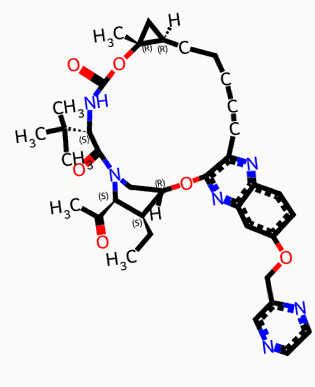 CC[C@@H]1[C@@H]2CN(C(=O)[C@H](C(C)(C)C)NC(=O)O[C@]3(C)C[C@H]3CCCCCc3nc4ccc(OCc5cnccn5)cc4nc3O2)[C@@H]1C(C)=O